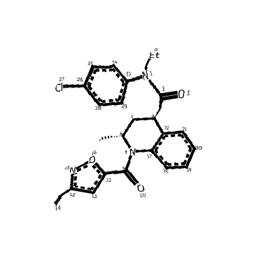 CCN(C(=O)[C@@H]1C[C@@H](C)N(C(=O)c2cc(C)no2)c2ccccc21)c1ccc(Cl)cc1